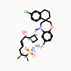 C[C@@H](C/C=C/[C@H](O)[C@@H]1CC[C@H]1CN1CC2(CCCc3cc(Cl)ccc32)COc2ccc(C(=O)O)cc21)[C@H](C)S(N)(=O)=O